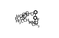 CNC(=O)c1ccc(-c2ccccc2OCC2CC(CN(C(=O)O)C(C)(C)C)=NO2)cc1F